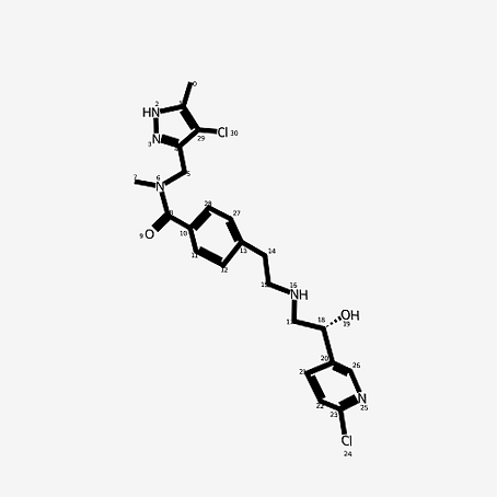 Cc1[nH]nc(CN(C)C(=O)c2ccc(CCNC[C@H](O)c3ccc(Cl)nc3)cc2)c1Cl